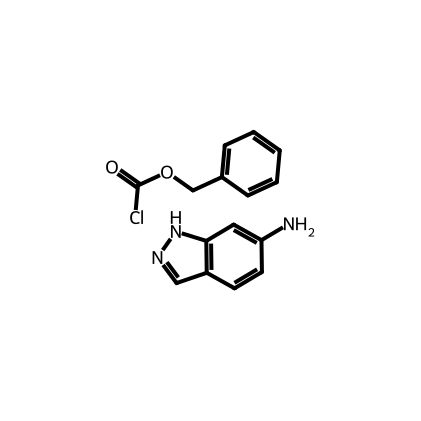 Nc1ccc2cn[nH]c2c1.O=C(Cl)OCc1ccccc1